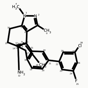 Cc1nn(C)c2c1C13CN(C)C(N)=NC1(CC2)Cc1ccc(-c2cc(F)cc(Cl)c2)cc13